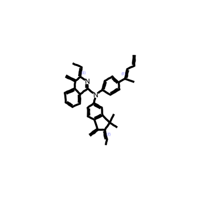 C=C/C=C(\C)c1ccc(N(c2ccc3c(c2)C(C)(C)/C(=C/C)C3=C)c2n/c(=C/C)c(=C)c3ccccc23)cc1